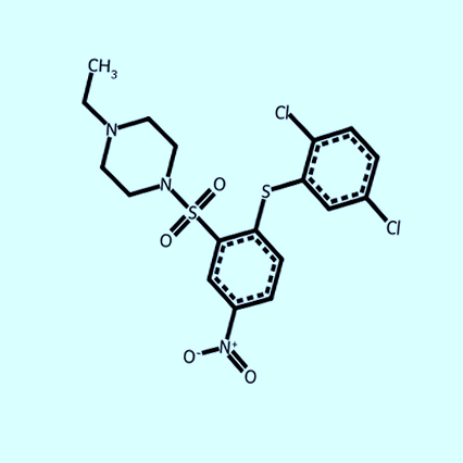 CCN1CCN(S(=O)(=O)c2cc([N+](=O)[O-])ccc2Sc2cc(Cl)ccc2Cl)CC1